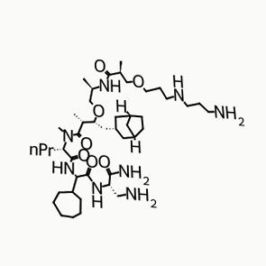 CCC[C@@H](C(=O)N[C@H](C(=O)N[C@@H](CN)C(N)=O)C1CCCCCC1)N(C)C(=O)[C@H](C)[C@@H](C[C@@H]1C[C@@H]2CC[C@@H](C2)C1)OC[C@@H](C)NC(=O)[C@@H](C)COCCCNCCCN